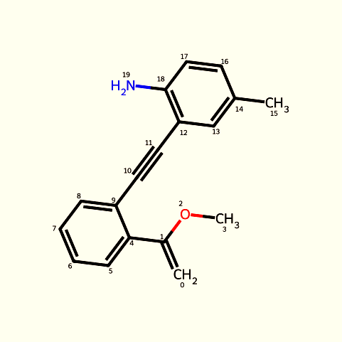 C=C(OC)c1ccccc1C#Cc1cc(C)ccc1N